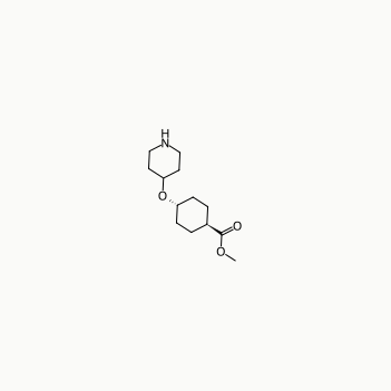 COC(=O)[C@H]1CC[C@H](OC2CCNCC2)CC1